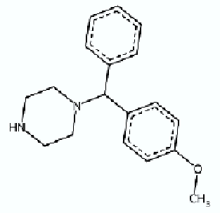 COc1ccc(C(c2ccccc2)N2CCNCC2)cc1